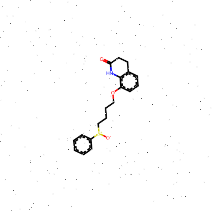 O=C1CCc2cccc(OCCCC[S+]([O-])c3ccccc3)c2N1